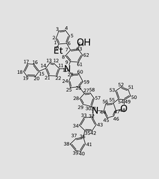 CCc1ccccc1-c1cc(N(c2ccc(-c3ccccc3)cc2)c2ccc(-c3ccc(N(c4ccc(-c5ccccc5)cc4)c4ccc5oc6ccccc6c5c4)cc3)cc2)ccc1O